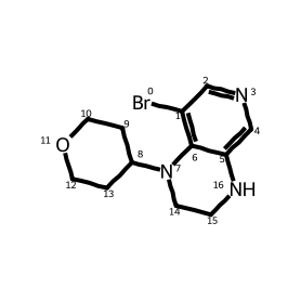 Brc1cncc2c1N(C1CCOCC1)CCN2